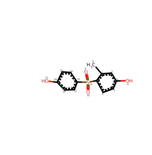 Cc1cc(O)ccc1S(=O)(=O)c1ccc(O)cc1